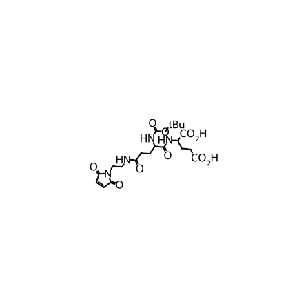 CC(C)(C)OC(=O)NC(CCC(=O)NCCN1C(=O)C=CC1=O)C(=O)NC(CCC(=O)O)C(=O)O